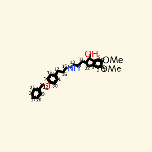 COc1cc2c(cc1OC)C(O)C(CCCNCCCc1ccc(OCc3ccccc3)cc1)C2